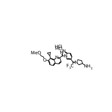 COCCOc1ccc2ccc(-c3nnc4ccc([C@@H](N5CCC(N)C5)C(F)(F)F)cn34)nc2c1C1CC1.Cl.Cl